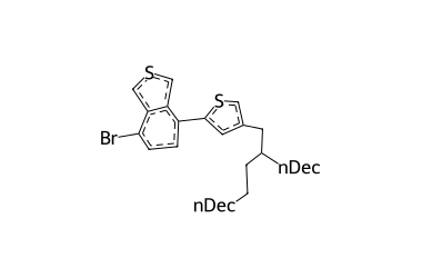 CCCCCCCCCCCCC(CCCCCCCCCC)Cc1csc(-c2ccc(Br)c3cscc23)c1